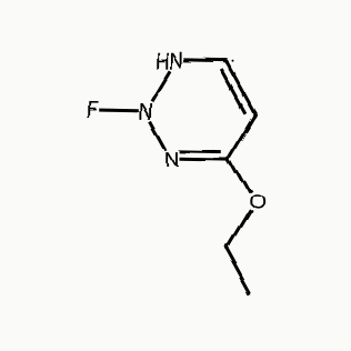 CCOC1=NN(F)N[C]=C1